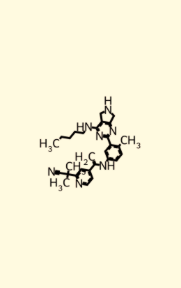 C=C(Nc1ccc(C)c(-c2nc3c(c(NCCCCC)n2)CNC3)c1)c1ccnc(C(C)(C)C#N)c1